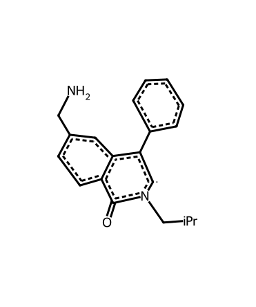 CC(C)Cn1[c]c(-c2ccccc2)c2cc(CN)ccc2c1=O